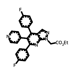 CCOC(=O)Cn1ncc2c(-c3ccc(F)cc3)c(-c3ccncc3)c(-c3ccc(F)cc3)nc21